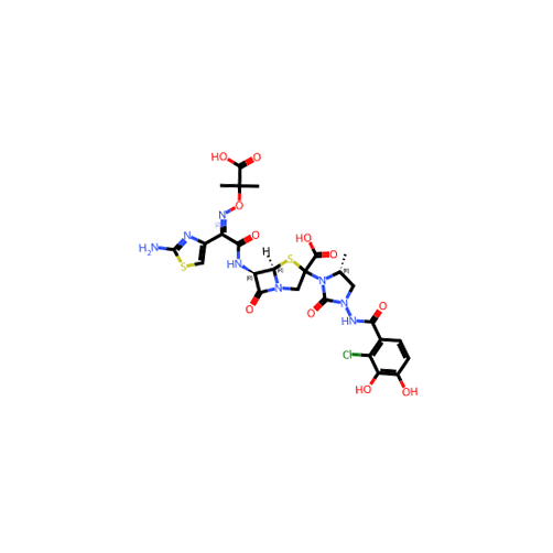 C[C@@H]1CN(NC(=O)c2ccc(O)c(O)c2Cl)C(=O)N1C1(C(=O)O)CN2C(=O)[C@@H](NC(=O)/C(=N\OC(C)(C)C(=O)O)c3csc(N)n3)[C@H]2S1